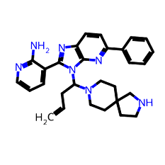 C=CCC(N1CCC2(CCNC2)CC1)n1c(-c2cccnc2N)nc2ccc(-c3ccccc3)nc21